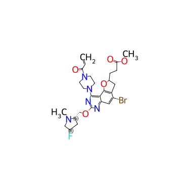 C=CC(=O)N1CCN(c2nc(OC[C@@H]3C[C@@H](F)CN3C)nc3cc(Br)c4c(c23)OC(CCC(=O)OC)C4)CC1